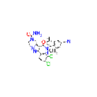 CC(C)(NC(=O)c1c(-c2ccc(Cl)c(Cl)c2)nn2c1CN(C(N)=O)CC2)c1ccc(C#N)cc1